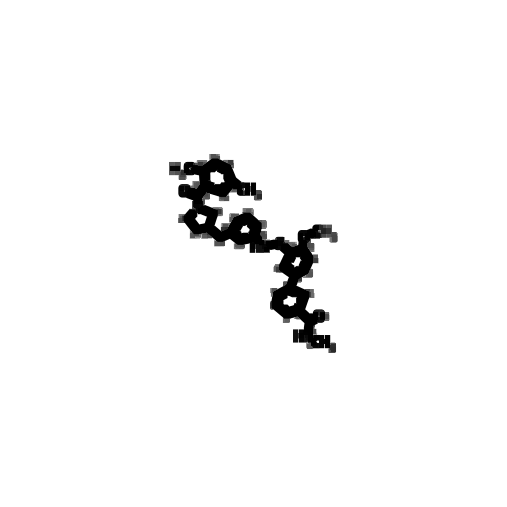 CNC(=O)c1cccc(-c2ccc(OC)c(SNc3cccc(CC4CCN(C(=O)c5cc(C)ccc5C)C4)c3)c2)c1